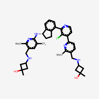 COc1nc(-c2ccnc(-c3cccc4c3CC[C@@H]4Nc3nc(OC)c(CNC4CC(C)(O)C4)cc3C(F)(F)F)c2Cl)ccc1CNC1CC(C)(O)C1